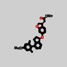 COC(=O)C[C@@H]1COc2cc(O[C@@H]3CCc4c(-c5c(C)cc(OC)cc5C)cccc43)ccc21